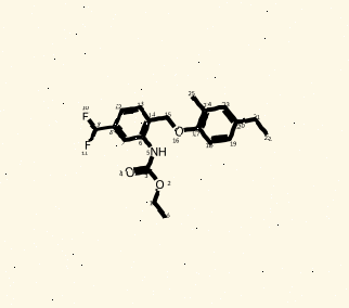 CCOC(=O)Nc1cc(C(F)F)ccc1COc1ccc(CC)cc1C